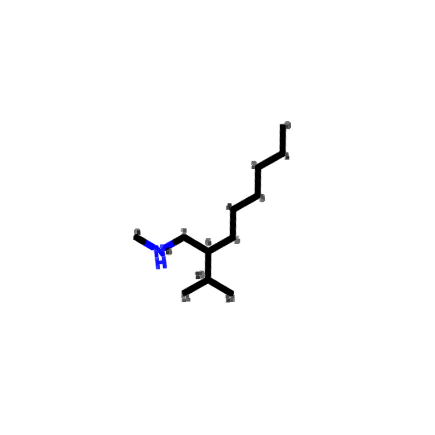 CCCCCCC(CNC)C(C)C